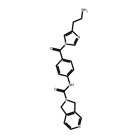 NCCc1cn(C(=O)c2ccc(NC(=O)N3Cc4ccncc4C3)cc2)cn1